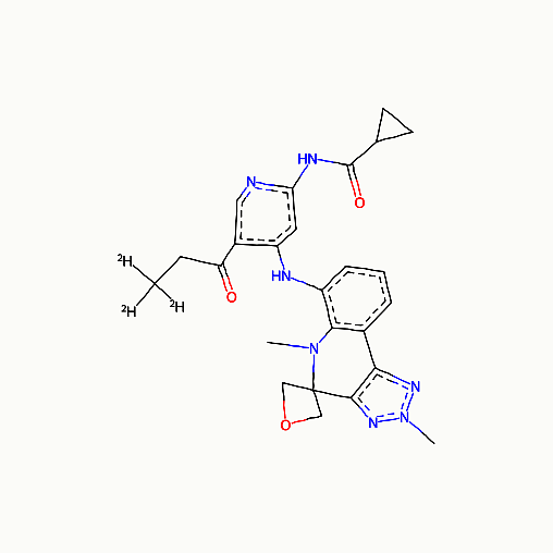 [2H]C([2H])([2H])CC(=O)c1cnc(NC(=O)C2CC2)cc1Nc1cccc2c1N(C)C1(COC1)c1nn(C)nc1-2